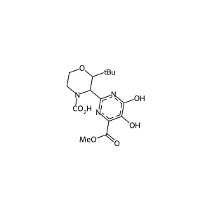 COC(=O)c1nc(C2C(C(C)(C)C)OCCN2C(=O)O)nc(O)c1O